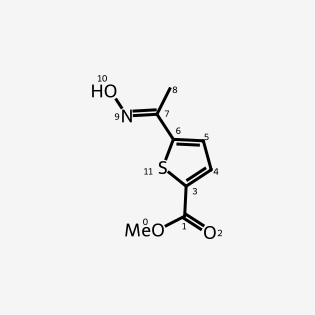 COC(=O)c1ccc(C(C)=NO)s1